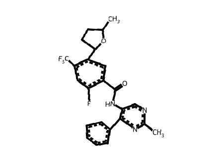 Cc1ncc(NC(=O)c2cc(C3CCC(C)O3)c(C(F)(F)F)cc2F)c(-c2ccccc2)n1